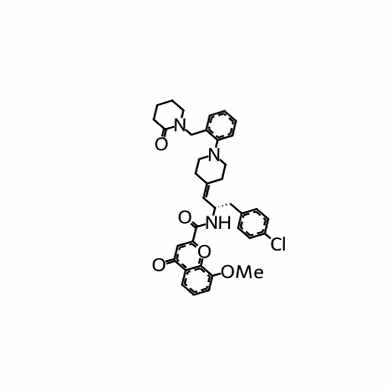 COc1cccc2c(=O)cc(C(=O)N[C@H](C=C3CCN(c4ccccc4CN4CCCCC4=O)CC3)Cc3ccc(Cl)cc3)oc12